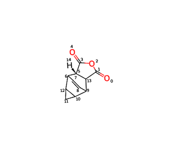 O=C1OC(=O)[C@H]2C3C=CC(C4CC43)C12